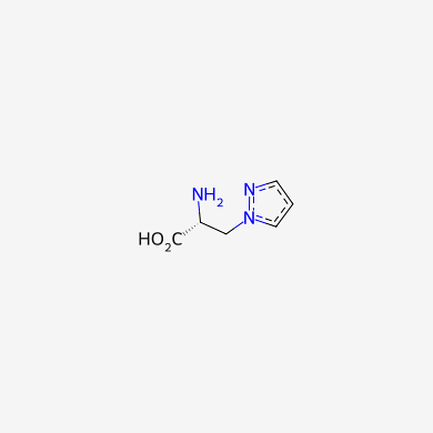 N[C@H](Cn1cccn1)C(=O)O